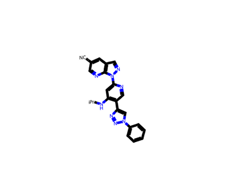 CC(C)Nc1cc(-n2ncc3cc(C#N)cnc32)ncc1-c1cn(-c2ccccc2)nn1